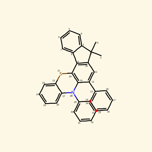 CC1(C)c2ccccc2-c2c1cc(-c1ccccc1)c1c2Sc2ccccc2N1c1ccccc1